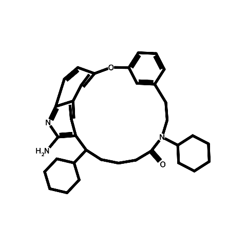 Nc1nc2ccc3cc2cc1C(C1CCCCC1)CCCC(=O)N(C1CCCCC1)CCc1cccc(c1)O3